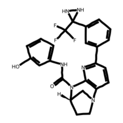 O=C(Nc1cccc(O)c1)N1c2nc(-c3cccc(C4(C(F)(F)F)NN4)c3)ccc2N2CC[C@H]1C2